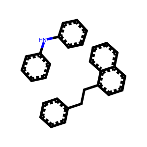 c1ccc(CCc2cccc3ccccc23)cc1.c1ccc(Nc2ccccc2)cc1